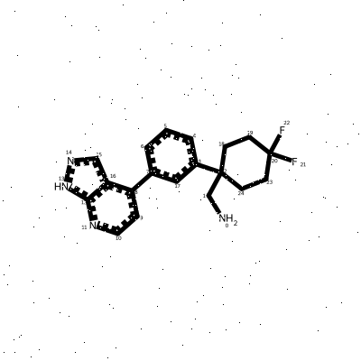 NCC1(c2cccc(-c3ccnc4[nH]ncc34)c2)CCC(F)(F)CC1